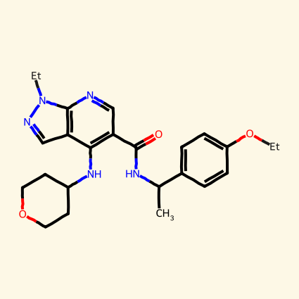 CCOc1ccc(C(C)NC(=O)c2cnc3c(cnn3CC)c2NC2CCOCC2)cc1